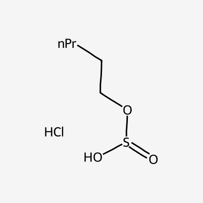 CCCCCOS(=O)O.Cl